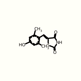 Cc1cc(O)cc(C)c1/C=C1\SC(=O)NC1=O